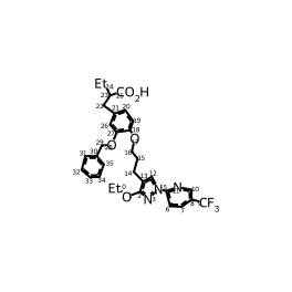 CCOc1nn(-c2ccc(C(F)(F)F)cn2)cc1CCCOc1ccc(CC(CC)C(=O)O)cc1OCc1ccccc1